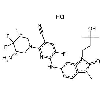 C[C@@H]1CN(c2nc(Nc3ccc4c(c3)n(CCC(C)(C)O)c(=O)n4C)c(F)cc2C#N)C[C@H](N)C1(F)F.Cl